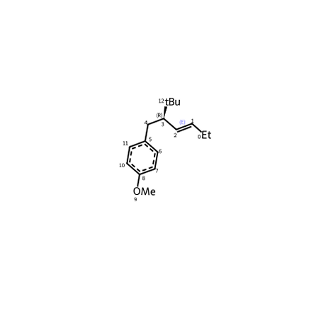 CC/C=C/[C@@H](Cc1ccc(OC)cc1)C(C)(C)C